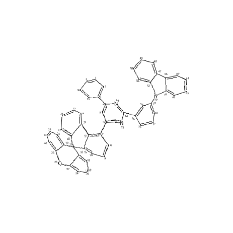 c1ccc(-c2cc(-c3cccc4c3-c3ccccc3C43c4ccccc4Oc4ccccc43)nc(-c3cccc(-n4c5ccccc5c5ccccc54)c3)n2)cc1